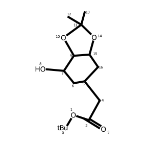 CC(C)(C)OC(=O)CC1CC(O)C2OC(C)(C)OC2C1